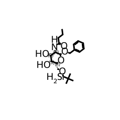 CCCC(=O)N[C@H]1C(OCc2ccccc2)O[C@H](CO[SiH2]C(C)(C)C)[C@@H](O)[C@@H]1O